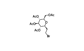 CC(=O)OC[C@H]1O[C@@H](CCBr)[C@H](OC(C)=O)[C@@H](OC(C)=O)[C@@H]1OC(C)=O